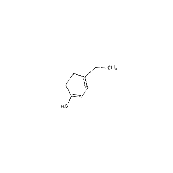 CCC1=CC=C(O)CC1